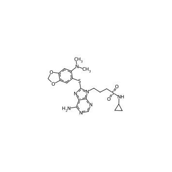 CN(C)c1cc2c(cc1Sc1nc3c(N)ncnc3n1CCCS(=O)(=O)NC1CC1)OCO2